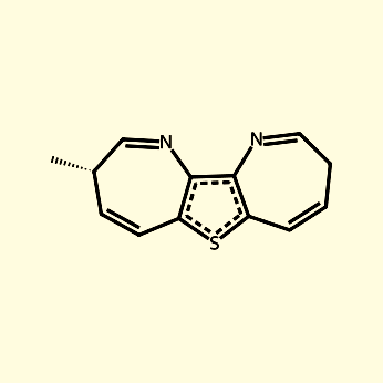 C[C@H]1C=Cc2sc3c(c2N=C1)N=CCC=C3